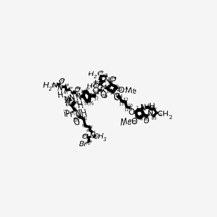 C=C1C[C@H]2C=Nc3cc(OCCCCCOc4cc5c(cc4OC)C(=O)N4CC(=C)C[C@H]4[C@H](O)N5C(=O)OCc4ccc(NC(=O)[C@H](CCCNC(N)=O)n5cc([C@@H](NC(=O)CCCCCN(C)C(=O)CBr)C(C)C)nn5)cc4)c(OC)cc3C(=O)N2C1